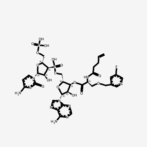 C=CCCC(=O)N[C@@H](COCc1cncc(F)c1)C(=O)O[C@H]1[C@@H](O)[C@H](n2cnc3c(N)ncnc32)O[C@@H]1COP(=O)(O)[C@H]1[C@@H](O)[C@H](n2ccc(N)nc2=O)O[C@@H]1COP(=O)(O)O